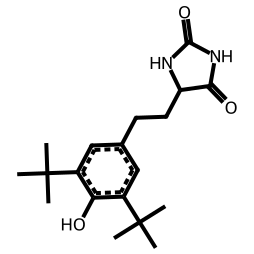 CC(C)(C)c1cc(CCC2NC(=O)NC2=O)cc(C(C)(C)C)c1O